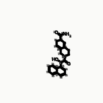 NC(=O)C1C=C2CCN(C(=O)N(O)c3cccc4ccccc34)CC2=CC1